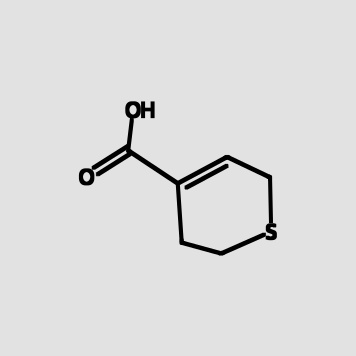 O=C(O)C1=CCSCC1